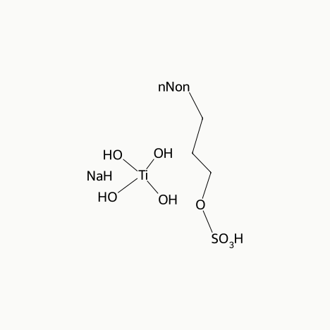 CCCCCCCCCCCCOS(=O)(=O)O.[NaH].[OH][Ti]([OH])([OH])[OH]